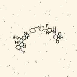 CC(C)Oc1cc2nc([C@H]3CC[C@H](CN4CCC(c5ncc(NC6CCC(=O)NC6=O)cc5F)CC4)CC3)cn2cc1C(=O)Nc1cccn(C2CC2)c1=O